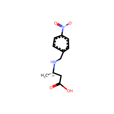 C[C@@H](CC(=O)O)NCc1ccc([N+](=O)[O-])cc1